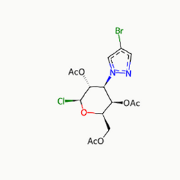 CC(=O)OC[C@H]1O[C@@H](Cl)[C@H](OC(C)=O)[C@@H](n2cc(Br)cn2)[C@H]1OC(C)=O